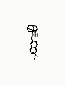 COc1ccc2cc(CNC34CC5CC(CC(C5)C3)C4)ccc2c1